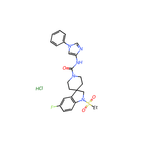 CCS(=O)(=O)N1CC2(CCN(C(=O)Nc3cn(-c4ccccc4)cn3)CC2)c2cc(F)ccc21.Cl